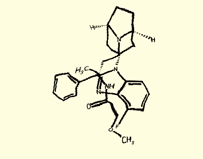 COCC(=O)N[C@@H](CCN1[C@@H]2CC[C@H]1C[C@H](n1c(C)nc3c(F)cccc31)C2)c1ccccc1